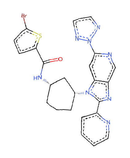 O=C(N[C@H]1CCC[C@@H](n2c(-c3ccccn3)nc3cnc(-n4nccn4)cc32)C1)c1ccc(Br)s1